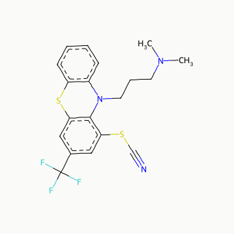 CN(C)CCCN1c2ccccc2Sc2cc(C(F)(F)F)cc(SC#N)c21